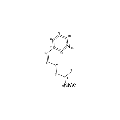 CNC(C)CC/C=C\c1cccnc1